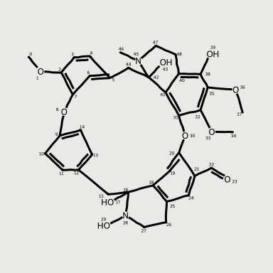 COc1ccc2cc1Oc1ccc(cc1)CC1(O)c3cc(c(C=O)cc3CCN1O)Oc1c(OC)c(OC)c(O)c3c1C(O)(C2)N(C)CC3